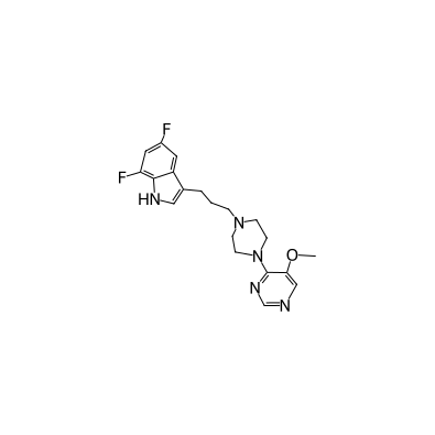 COc1cncnc1N1CCN(CCCc2c[nH]c3c(F)cc(F)cc23)CC1